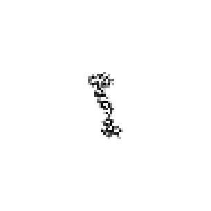 CC1(C)c2ccccc2N(c2ccc3c(c2)Cc2cc4ccc(-c5ccc6c(c5)-c5ccccc5S6(=O)=O)cc4cc2C3)c2ccccc21